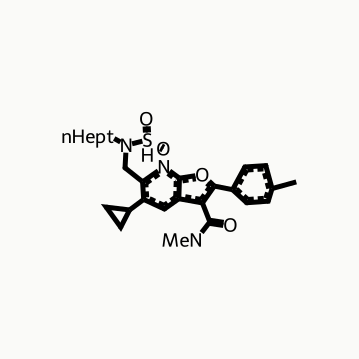 CCCCCCCN(Cc1nc2oc(-c3ccc(C)cc3)c(C(=O)NC)c2cc1C1CC1)[SH](=O)=O